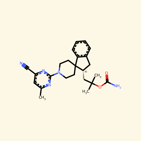 Cc1cc(C#N)nc(N2CCC3(CC2)c2ccccc2C[C@@H]3CC(C)(C)OC(N)=O)n1